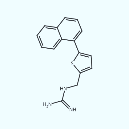 N=C(N)NCc1ccc(-c2cccc3ccccc23)s1